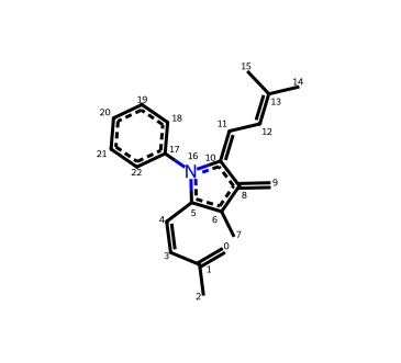 C=C(C)/C=C\c1c(C)c(=C)/c(=C\C=C(C)C)n1-c1ccccc1